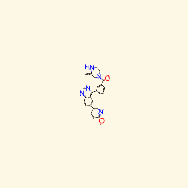 C=C1CN(C(=O)c2cccc(-c3ncnc4ccc(-c5ccc(OC)nc5)cc34)c2)CCN1